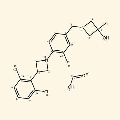 CC1(O)CN(Cc2ccc(N3CC(c4c(Cl)cccc4Cl)C3)c(F)c2)C1.O=CO